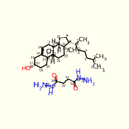 CC(C)CCCC(C)[C@H]1CC[C@H]2[C@@H]3CC=C4C[C@@H](O)CC[C@]4(C)[C@H]3CC[C@]12C.NNC(=O)CCC(=O)NN